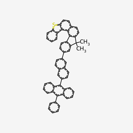 CC1(C)c2cc(-c3ccc4cc(-c5c6ccccc6c(-c6ccccc6)c6ccccc56)ccc4c3)ccc2-c2c1ccc1ccc3sc4ccccc4c3c21